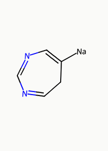 [Na][C]1=CN=CN=CC1